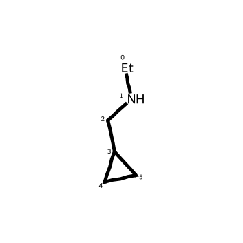 [CH2]CNCC1CC1